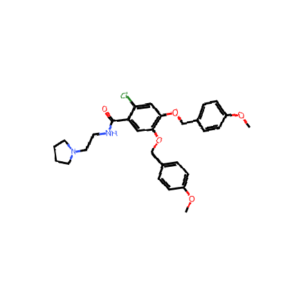 COc1ccc(COc2cc(Cl)c(C(=O)NCCN3CCCC3)cc2OCc2ccc(OC)cc2)cc1